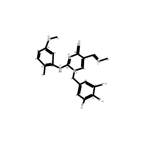 C/N=C/c1cn(Cc2cc(F)c(F)c(F)c2)c(Nc2cc(OC)ccc2C)nc1=O